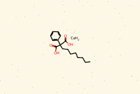 CCCCCCCCC(C(=O)O)(C(=O)O)c1ccccc1.[CaH2]